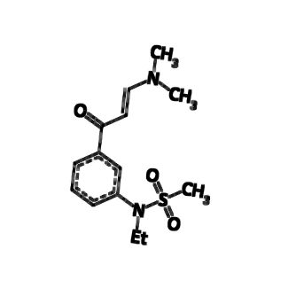 CCN(c1cccc(C(=O)C=CN(C)C)c1)S(C)(=O)=O